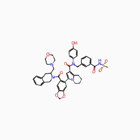 CS(=O)(=O)NC(=O)c1cccc(CN(C(=O)c2cc(-c3cc4c(cc3C(=O)N3Cc5ccccc5CC3CN3CCOCC3)OCO4)n3c2CCCC3)c2ccc(O)cc2)c1